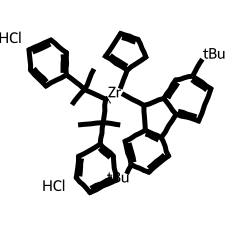 CC(C)(C)c1ccc2c(c1)[CH]([Zr]([C]1=CC=CC1)=[C](C(C)(C)c1ccccc1)C(C)(C)c1ccccc1)c1cc(C(C)(C)C)ccc1-2.Cl.Cl